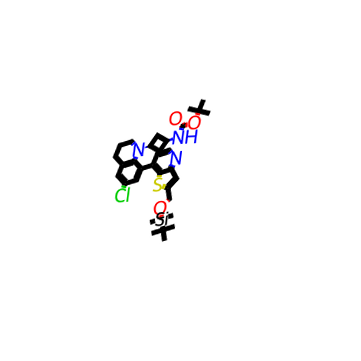 CC(C)(C)OC(=O)N[C@H]1C[C@H](N2CCCc3cc(Cl)cc(-c4ccnc5cc(CO[Si](C)(C)C(C)(C)C)sc45)c32)C1